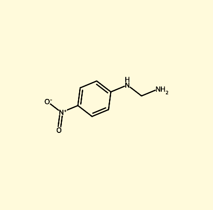 NCNc1ccc([N+](=O)[O-])cc1